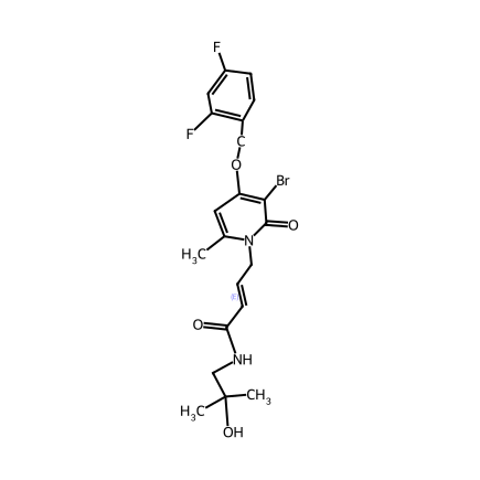 Cc1cc(OCc2ccc(F)cc2F)c(Br)c(=O)n1C/C=C/C(=O)NCC(C)(C)O